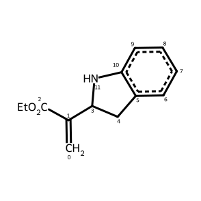 C=C(C(=O)OCC)C1Cc2ccccc2N1